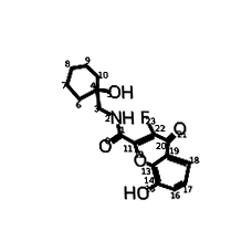 O=C(NCC1(O)CCCCC1)c1oc2c(O)cccc2c(=O)c1F